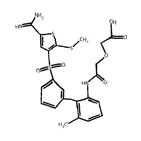 CSc1sc(C(=N)N)cc1S(=O)(=O)c1cccc(-c2c(C)cccc2NC(=O)COCC(=O)O)c1